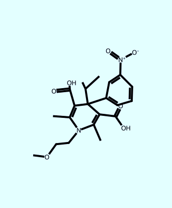 COCCN1C(C)=C(C(=O)O)C(c2cccc([N+](=O)[O-])c2)(C(C)C)C(C(=O)O)=C1C